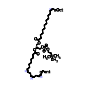 CCCCC/C=C\C/C=C\C/C=C\CCCCCCC(=O)O[C@H](COC(=O)CCCCCCCCCCC/C=C\CCCCCCCC)COP(=O)([O-])OCC[N+](C)(C)C